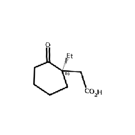 CC[C@]1(CC(=O)O)CCCCC1=O